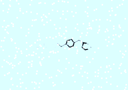 CCOC(=O)CCc1ccc(Cc2cccnc2)cc1